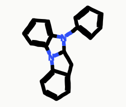 c1ccc(N2c3ccccc3N3c4ccccc4CC23)cc1